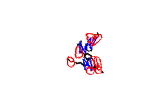 CCOC(=O)C1(C)Oc2ccc(C(=O)N(C(C)C)[C@@H]3CCCN(C(=O)OC(C)(C)C)C3)cc2N(CCCCOC)C1=O